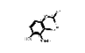 COc1c(O)ccc(OC(F)F)c1F